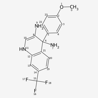 COc1ccc(C2(N)C(N)=CNc3cc(C(F)(F)F)ccc32)cc1